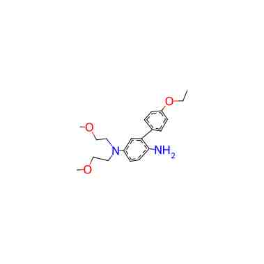 CCOc1ccc(-c2cc(N(CCOC)CCOC)ccc2N)cc1